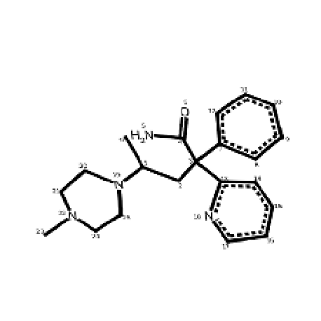 CC(CC(C(N)=O)(c1ccccc1)c1ccccn1)N1CCN(C)CC1